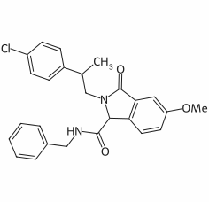 COc1ccc2c(c1)C(=O)N(CC(C)c1ccc(Cl)cc1)C2C(=O)NCc1ccccc1